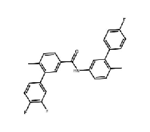 Cc1ccc(NC(=O)c2ccc(C)c(-c3ccc(F)c(F)c3)c2)cc1-c1ccc(F)cc1